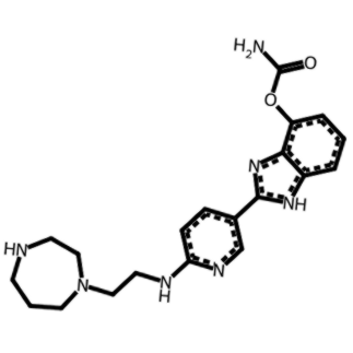 NC(=O)Oc1cccc2[nH]c(-c3ccc(NCCN4CCCNCC4)nc3)nc12